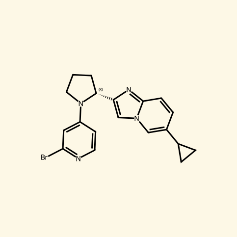 Brc1cc(N2CCC[C@@H]2c2cn3cc(C4CC4)ccc3n2)ccn1